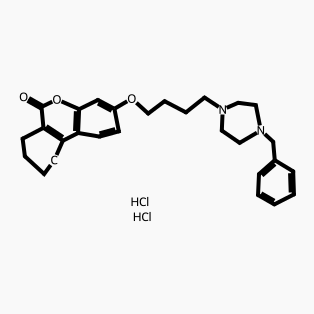 Cl.Cl.O=c1oc2cc(OCCCCN3CCN(Cc4ccccc4)CC3)ccc2c2c1CCCC2